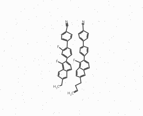 C=CCCc1ccc2c(F)c(-c3ccc(-c4ccc(C#N)cc4)cc3)ccc2c1.CCc1ccc2c(F)c(-c3ccc(-c4ccc(C#N)cc4)c(F)c3)ccc2c1